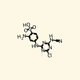 N#CNc1nc(Cl)nc(Nc2ccc(S(=O)(=O)O)c(N)c2)n1